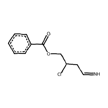 N=CCC(Cl)COC(=O)c1ccccc1